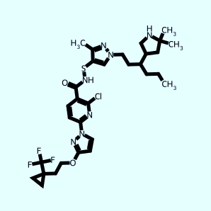 CCCC(CCn1cc(SNC(=O)c2ccc(-n3ccc(OCCC4(C(F)(F)F)CC4)n3)nc2Cl)c(C)n1)C1CNC(C)(C)C1